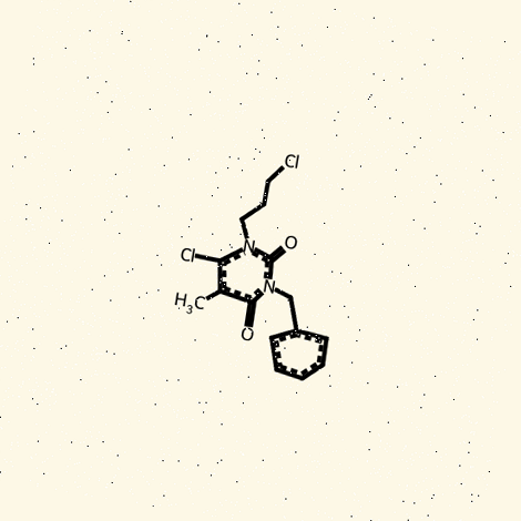 Cc1c(Cl)n(CCCCl)c(=O)n(Cc2ccccc2)c1=O